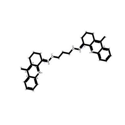 Cc1c2c(nc3ccccc13)/C(=N/OCCCO/N=C1\CCCc3c1nc1ccccc1c3C)CCC2